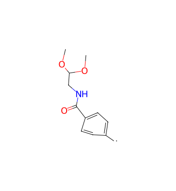 [CH2]c1ccc(C(=O)NCC(OC)OC)cc1